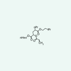 C=CC(=O)OC(CC(CCC)C(=O)OCCC(C)C)C(=O)OCCCCCC